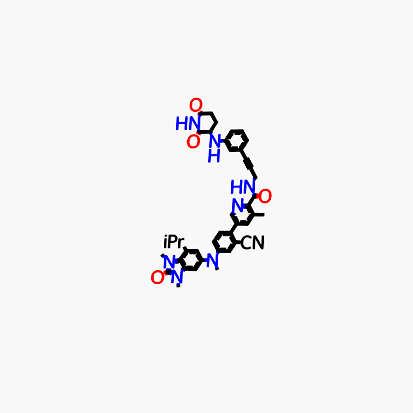 Cc1cc(-c2ccc(N(C)c3cc(C(C)C)c4c(c3)n(C)c(=O)n4C)cc2C#N)cnc1C(=O)NCC#Cc1cccc(NC2CCC(=O)NC2=O)c1